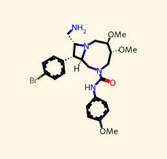 COc1ccc(NC(=O)N2C[C@@H](OC)[C@H](OC)CN3[C@@H](CN)[C@@H](c4ccc(Br)cc4)[C@@H]3C2)cc1